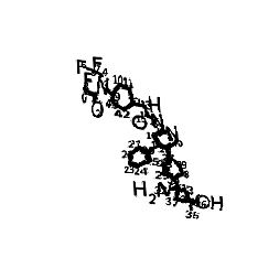 CC(=O)N(CC(F)(F)F)C1CCC(CC(=O)Nc2cc(-c3ccccc3)c(-c3ccc([C@]4(N)C[C@](C)(O)C4)cc3)cn2)CC1